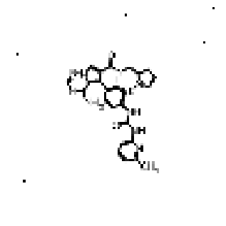 CCN1CCCC1CNC(=O)c1cn2ncnc(N)c2c1-c1ccc(NC(=O)Nc2cccc(C)n2)cc1